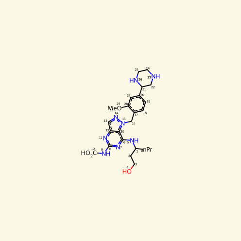 CCCC(CCO)Nc1nc(NC(=O)O)nc2cnn(Cc3ccc(C4CNCCN4)cc3OC)c12